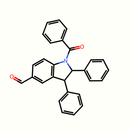 O=Cc1ccc2c(c1)C(c1ccccc1)C(c1ccccc1)N2C(=O)c1ccccc1